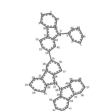 c1ccc(-n2c3ccccc3c3ccc(-c4ccc5c(c4)c4ccccc4n5-n4c5ccccc5c5ccccc54)cc32)cc1